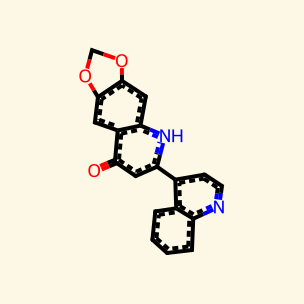 O=c1cc(-c2ccnc3ccccc23)[nH]c2cc3c(cc12)OCO3